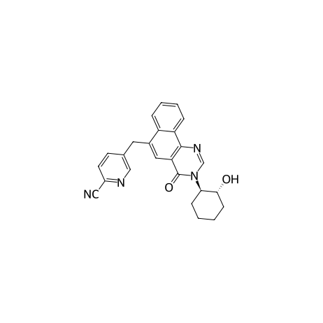 N#Cc1ccc(Cc2cc3c(=O)n([C@@H]4CCCC[C@H]4O)cnc3c3ccccc23)cn1